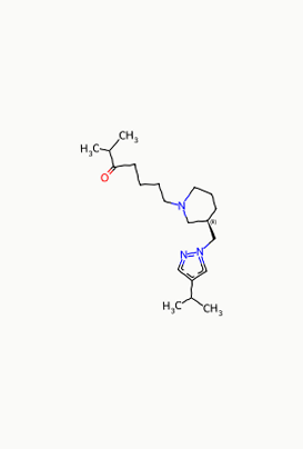 CC(C)C(=O)CCCCN1CCC[C@@H](Cn2cc(C(C)C)cn2)C1